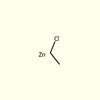 CCCl.[Zn]